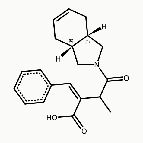 CC(C(=O)N1C[C@H]2CC=CC[C@H]2C1)C(=Cc1ccccc1)C(=O)O